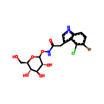 O=C(Cc1c[nH]c2ccc(Br)c(Cl)c12)NOC1O[C@H](CO)[C@@H](O)[C@H](O)[C@H]1O